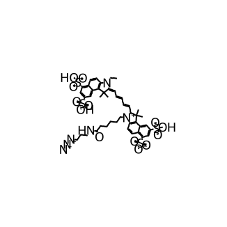 CCN1/C(=C/C=C/C=C/C2=[N+](CCCCCC(=O)NCCCN=[N+]=[N-])c3ccc4c(S(=O)(=O)[O-])cc(S(=O)(=O)O)cc4c3C2(C)C)C(C)(C)c2c1ccc1c(S(=O)(=O)O)cc(S(=O)(=O)O)cc21